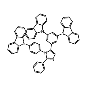 c1ccc(-c2ncc(-c3cc(-n4c5ccccc5c5ccccc54)cc(-n4c5ccccc5c5ccccc54)c3)n2-c2ccc(-n3c4ccccc4c4ccccc43)cc2)cc1